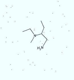 CCC(CN)N(C)CC